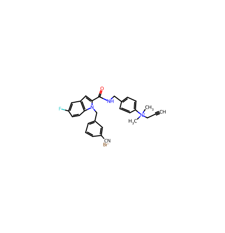 C#CC[N+](C)(C)c1ccc(CNC(=O)c2cc3cc(F)ccc3n2Cc2cccc(C#N)c2)cc1.[Br-]